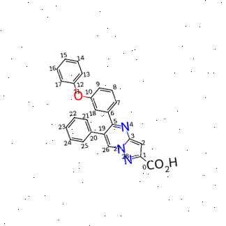 O=C(O)c1cc2nc(-c3cccc(Oc4ccccc4)c3)c(-c3ccccc3)cn2n1